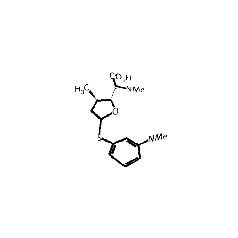 CNc1cccc(SC2C[C@@H](C)[C@H](C(NC)C(=O)O)O2)c1